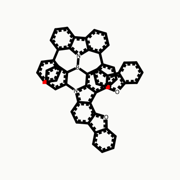 c1ccc(-c2cccc3c4cccc(-c5ccccc5)c4n(B4c5ccccc5-n5c6ccc7c8ccccc8oc7c6c6c7oc8ccccc8c7cc4c65)c23)cc1